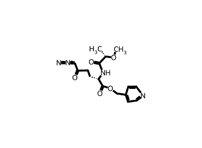 CO[C@@H](C)C(=O)N[C@@H](CCC(=O)C=[N+]=[N-])C(=O)OCc1ccncc1